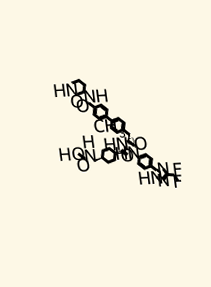 Cc1cc(C(=O)NC2CCCNC2=O)ccc1-c1ccc(C[C@H](NC(=O)[C@H]2CC[C@H](CNC(=O)O)CC2)C(=O)Nc2ccc(-c3nc(C(F)F)n[nH]3)cc2)cc1